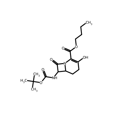 CCCCOC(=O)C1=C(O)CCC2C(NC(=O)OC(C)(C)C)C(=O)N12